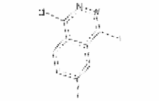 Cc1ccc2c(Cl)nnc(I)c2c1